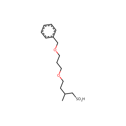 CC(CCOCCCOCc1ccccc1)CS(=O)(=O)O